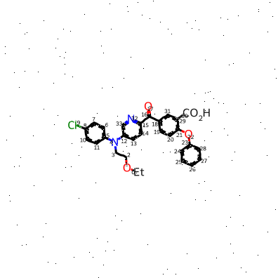 CCOCCN(c1ccc(Cl)cc1)c1ccc(C(=O)c2ccc(Oc3ccccc3)c(C(=O)O)c2)nc1